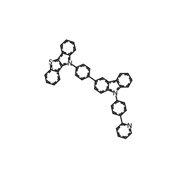 c1ccc(-c2ccc(-n3c4ccccc4c4cc(-c5ccc(-n6c7ccccc7c7sc8ccccc8c76)cc5)ccc43)cc2)nc1